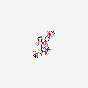 COc1ccccc1C(Cn1c2c(c(=O)n(C(C)(C)C)c1=O)C(C)C(c1ncco1)S2)OC1CCN(C(=O)OC(C)(C)C)CC1